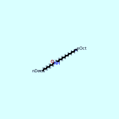 CCCCCCCC/C=C/CCCCCCCCCCCCNC(=O)CCCCCCCCCCCCCCCCC